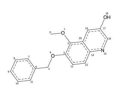 COc1c(OCc2ccccc2)ccc2ncc(O)cc12